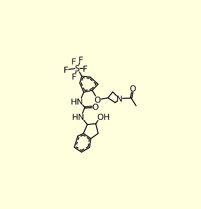 CC(=O)N1CC(Oc2ccc(S(F)(F)(F)(F)F)cc2NC(=O)NC2c3ccccc3CC2O)C1